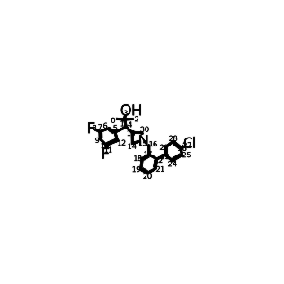 CC(C)(O)C(c1cc(F)cc(F)c1)C1CN(Cc2ccccc2-c2ccc(Cl)cc2)C1